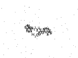 COc1cc(CCNc2ncnc3scnc23)ccc1Oc1cc(C(F)(F)F)ncn1